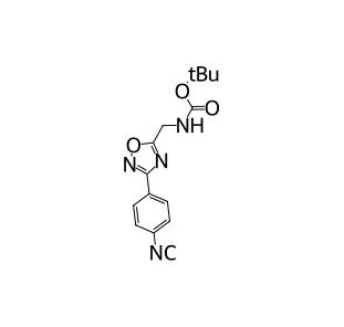 [C-]#[N+]c1ccc(-c2noc(CNC(=O)OC(C)(C)C)n2)cc1